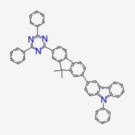 CC1(C)c2cc(-c3ccc4c(c3)c3ccccc3n4-c3ccccc3)ccc2-c2ccc(-c3nc(-c4ccccc4)nc(-c4ccccc4)n3)cc21